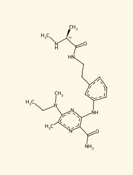 CCN(C)c1nc(Nc2cccc(CCNC(=O)[C@H](C)NC)c2)c(C(N)=O)nc1C